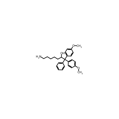 COc1ccc(C(c2ccccc2)(c2ccc(OC)cc2)C(O)CCCCCN)cc1